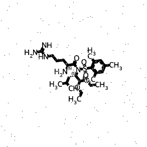 CCOC(OCC)[C@H](CC(C)C)N(C(=O)[C@@H](N)CCCNC(=N)N)S(=O)(=O)c1c(C)cc(C)cc1C